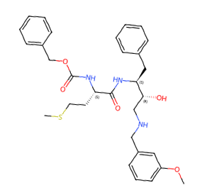 COc1cccc(CNC[C@@H](O)[C@H](Cc2ccccc2)NC(=O)[C@H](CCSC)NC(=O)OCc2ccccc2)c1